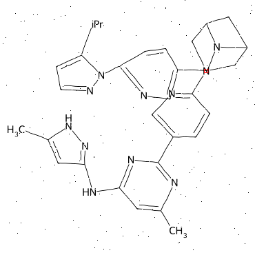 Cc1cc(Nc2cc(C)[nH]n2)nc(-c2ccc(N3CC4CC(C3)N4Cc3ccc(-n4nccc4C(C)C)nc3)nc2)n1